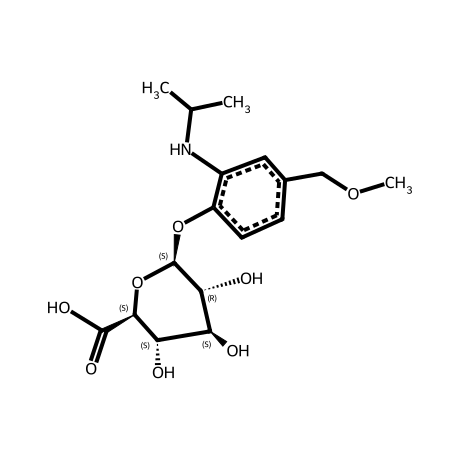 COCc1ccc(O[C@@H]2O[C@H](C(=O)O)[C@@H](O)[C@H](O)[C@H]2O)c(NC(C)C)c1